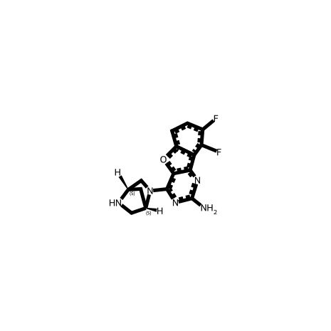 Nc1nc(N2C[C@@H]3C[C@H]2CN3)c2oc3ccc(F)c(F)c3c2n1